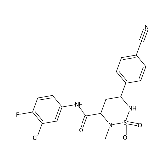 CN1C(C(=O)Nc2ccc(F)c(Cl)c2)CC(c2ccc(C#N)cc2)NS1(=O)=O